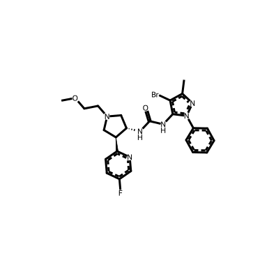 COCCN1C[C@H](NC(=O)Nc2c(Br)c(C)nn2-c2ccccc2)[C@@H](c2ccc(F)cn2)C1